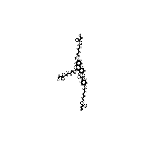 C=CC(=O)OCCCCCCOc1ccc(C(=O)Oc2ccc(-c3ccc(OCCCCCCOC(=O)C=C)cc3)c(C(=O)OCCCCOC(=O)C=C)c2)cc1